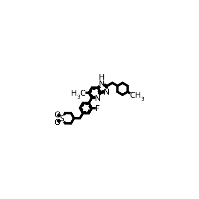 Cc1cc2[nH]c(CC3CCC(C)CC3)nc2nc1-c1ccc(CC2CCS(=O)(=O)CC2)cc1F